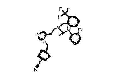 N#Cc1ccc(Cn2cncc2CCN(Cc2ccccc2C(F)(F)F)C(=S)Nc2ccccc2Cl)cc1